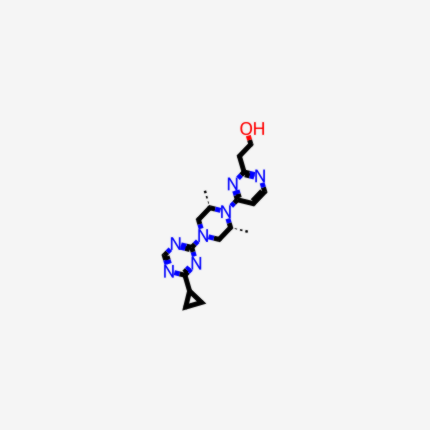 C[C@@H]1CN(c2ncnc(C3CC3)n2)C[C@H](C)N1c1ccnc(CCO)n1